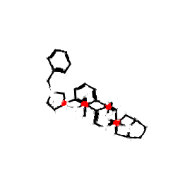 COc1cccc(C(=O)NC2CC3CCC(C2)N3c2ccc(C(=O)N[C@H]3CCN(Cc4ccccc4)C3)cn2)c1C